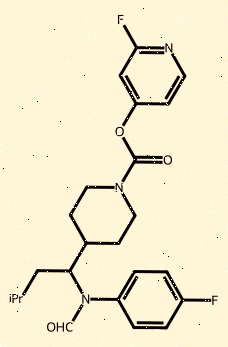 CC(C)CC(C1CCN(C(=O)Oc2ccnc(F)c2)CC1)N(C=O)c1ccc(F)cc1